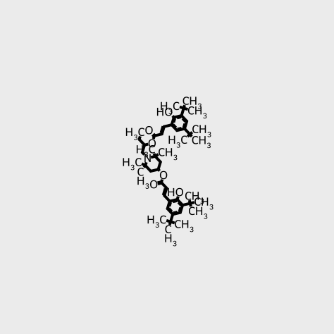 CCC(CN1C(C)(C)CC(OC(=O)C=Cc2cc(C(C)(C)C)cc(C(C)(C)C)c2O)CC1(C)C)OC(=O)C=Cc1cc(C(C)(C)C)cc(C(C)(C)C)c1O